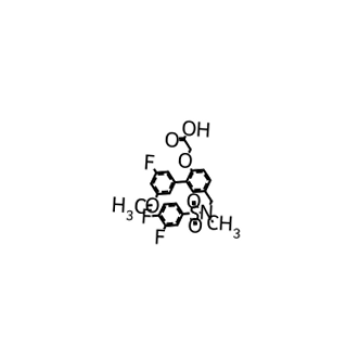 COc1cc(F)cc(-c2cc(CN(C)S(=O)(=O)c3ccc(F)c(F)c3)ccc2OCC(=O)O)c1